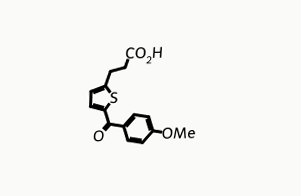 COc1ccc(C(=O)c2ccc(CCC(=O)O)s2)cc1